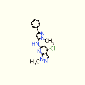 Cn1nc(-c2ccccc2)cc1Nc1cc(Cl)c2cnn(C)c2n1